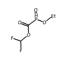 CCO[PH](=O)C(=O)OC(F)F